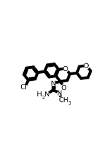 CN1OC2(CC(C3CCCOC3)Oc3ccc(-c4cccc(Cl)c4)cc32)N=C1N